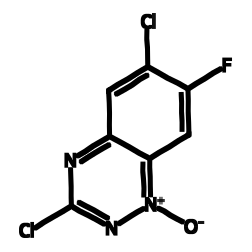 [O-][n+]1nc(Cl)nc2cc(Cl)c(F)cc21